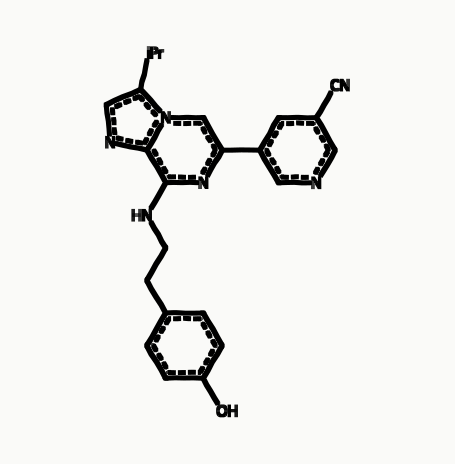 CC(C)c1cnc2c(NCCc3ccc(O)cc3)nc(-c3cncc(C#N)c3)cn12